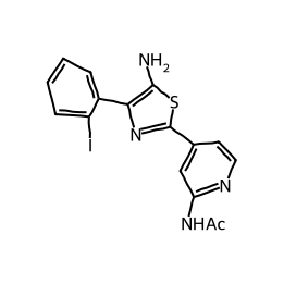 CC(=O)Nc1cc(-c2nc(-c3ccccc3I)c(N)s2)ccn1